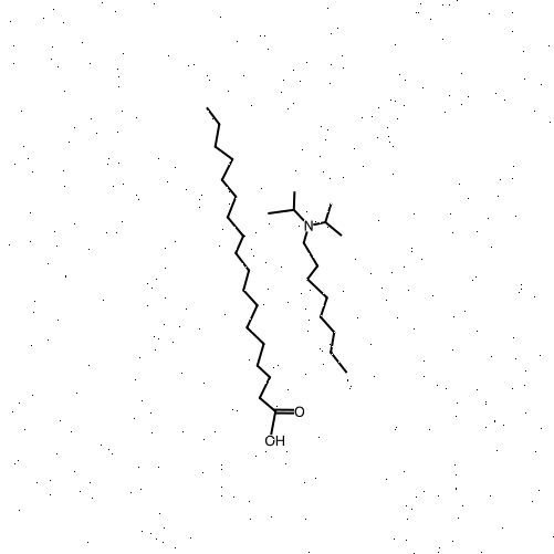 CCCCCCCCCCCCCCCCCC(=O)O.CCCCCCCCN(C(C)C)C(C)C